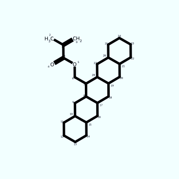 C=C(C)C(=O)OCC1C2CC3CCCCC3CC2CC2CC3CCCCC3CC21